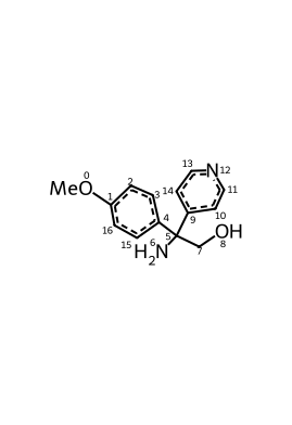 COc1ccc(C(N)(CO)c2ccncc2)cc1